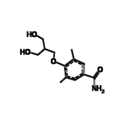 Cc1cc(C(N)=O)cc(C)c1OCC(CO)CO